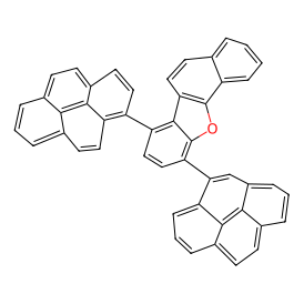 c1ccc2c(c1)ccc1c2oc2c(-c3cc4cccc5ccc6cccc3c6c54)ccc(-c3ccc4ccc5cccc6ccc3c4c56)c21